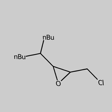 CCCCC(CCCC)C1OC1CCl